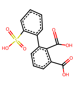 O=C(O)c1cccc(-c2ccccc2S(=O)(=O)O)c1C(=O)O